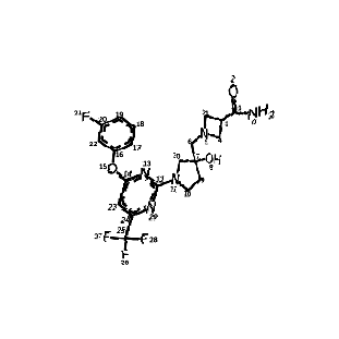 NC(=O)C1CN(CC2(O)CCN(c3nc(Oc4cccc(F)c4)cc(C(F)(F)F)n3)C2)C1